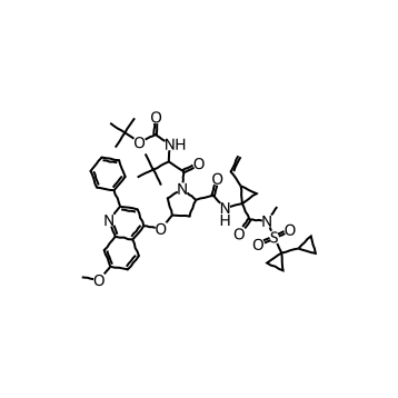 C=CC1CC1(NC(=O)C1CC(Oc2cc(-c3ccccc3)nc3cc(OC)ccc23)CN1C(=O)C(NC(=O)OC(C)(C)C)C(C)(C)C)C(=O)N(C)S(=O)(=O)C1(C2CC2)CC1